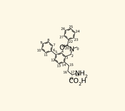 CN(Cc1cc(-c2ccccc2)ccc1CC[C@H](N)C(=O)O)C(=O)c1ccccc1